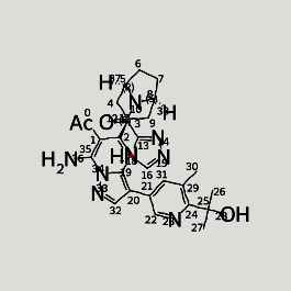 CC(=O)c1c([C@H]2C[C@H]3CC[C@@H](C2)N3C(=O)c2nnc[nH]2)nc2c(-c3cnc(C(C)(C)O)c(C)c3)cnn2c1N